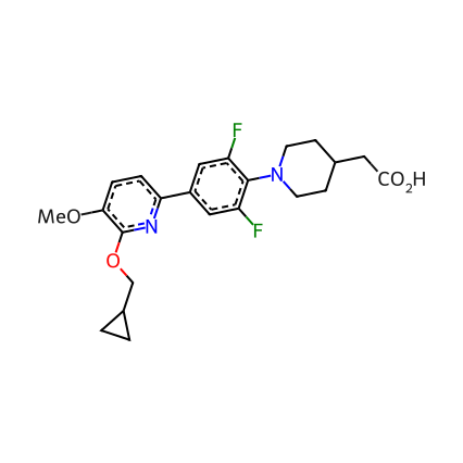 COc1ccc(-c2cc(F)c(N3CCC(CC(=O)O)CC3)c(F)c2)nc1OCC1CC1